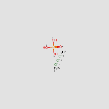 O=P(O)(O)O.[Cl-].[Cl-].[Cl-].[Fe+2].[Li+]